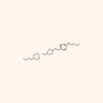 CCCCOc1ccc(CCC2CCC(CC[C@H]3CC[C@H](CCCC)CC3)CC2)nc1